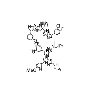 CC(C)CC(c1nn2c(-c3ccc(F)c(Cl)c3)cnc2s1)(C(C)C)N(N)c1nn2c(-c3cccc(OC(F)(F)F)c3)cnc2s1.CC(C)CNc1nn2c(-c3cccc(N(C)C)c3)cnc2s1.COc1ccc(-c2cnc3sc(NCC(C)C)nn23)cn1